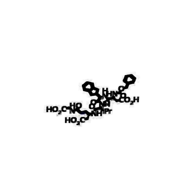 CC(C)[C@H](NC(=O)[C@@H](NC(=O)[C@H](CC(=O)O)NC(=O)OCc1ccccc1)C1Cc2ccccc2C1)C(=O)N[C@H](/C=C/C(=O)NCC(=O)O)CC(=O)O